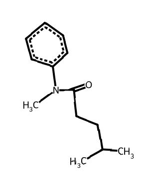 CC(C)CCC(=O)N(C)c1ccccc1